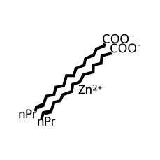 CCCC=CCCCCCCCCCCCCC(=O)[O-].CCCC=CCCCCCCCCCCCCC(=O)[O-].[Zn+2]